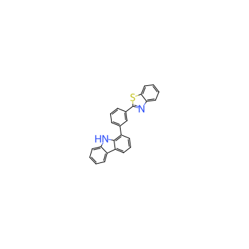 c1cc(-c2nc3ccccc3s2)cc(-c2cccc3c2[nH]c2ccccc23)c1